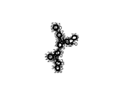 CC1(C)c2ccccc2-c2cc3c(cc21)c1cc(-c2ccc4c(c2)c2ccccc2n4-c2ccc4ccccc4c2)ccc1n3-c1ccc(-c2ccccc2)cc1